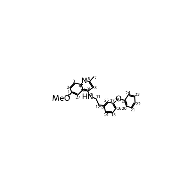 COc1ccc2nc(C)cc(NCCc3cccc(Oc4ccccc4)c3)c2c1